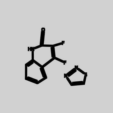 O=c1[nH]c2ccccc2c(F)c1F.c1csnn1